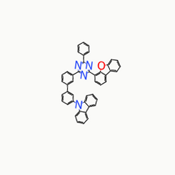 c1ccc(-c2nc(-c3cccc(-c4cccc(-n5c6ccccc6c6ccccc65)c4)c3)nc(-c3cccc4c3oc3ccccc34)n2)cc1